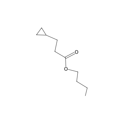 CCCCOC(=O)CCC1CC1